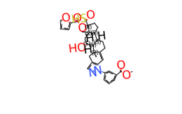 COC(=O)c1cccc(-n2ncc3c2C=C2CC[C@@H]4[C@H]([C@@H](O)C[C@@]5(C)[C@H]4CC[C@]5(OC(=O)c4ccco4)C(=O)S)[C@@]2(C)C3)c1